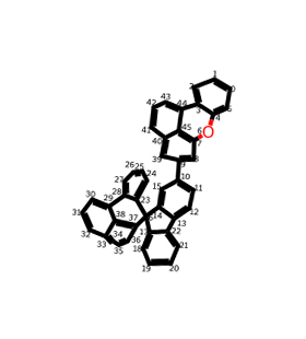 c1ccc2c(c1)Oc1cc(-c3ccc4c(c3)C3(c5ccccc5-4)c4ccccc4-c4cccc5cccc3c45)cc3cccc-2c13